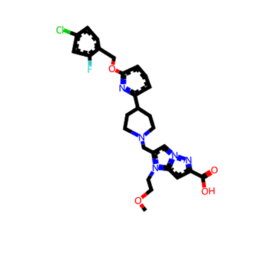 COCCn1c(CN2CCC(c3cccc(OCc4ccc(Cl)cc4F)n3)CC2)cn2nc(C(=O)O)cc12